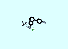 CCCCC1=Cc2c(-c3ccc(CC)cc3)cccc2[CH]1[Zr+2][Si](C)C.[Cl-].[Cl-]